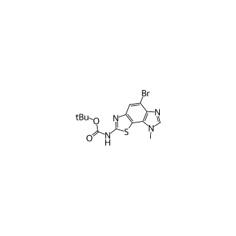 Cn1cnc2c(Br)cc3nc(NC(=O)OC(C)(C)C)sc3c21